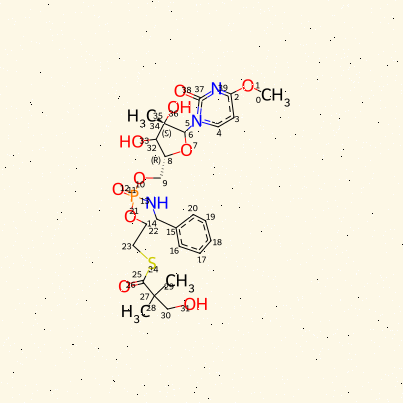 COc1ccn(C2O[C@H](COP(=O)(NCc3ccccc3)OCCSC(=O)C(C)(C)CO)C(O)[C@]2(C)O)c(=O)n1